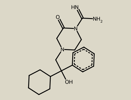 N=C(N)N1CCN(CC(O)(c2ccccc2)C2CCCCC2)CC1=O